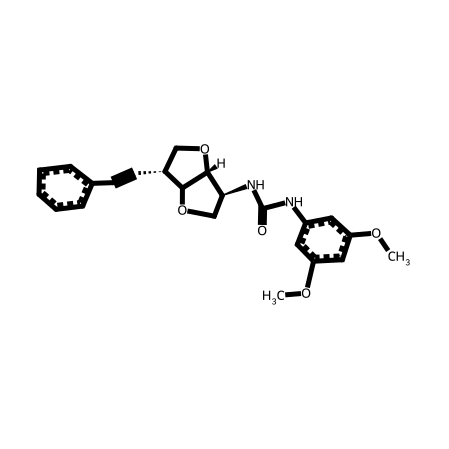 COc1cc(NC(=O)N[C@H]2COC3[C@H](C#Cc4ccccc4)CO[C@@H]32)cc(OC)c1